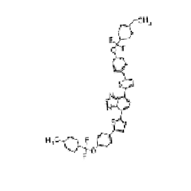 CCC1CCC(C(F)(F)Oc2ccc(-c3ccc(-c4ccc(-c5ccc(-c6ccc(OC(F)(F)C7CCC(C)CC7)cc6)s5)c5nsnc45)s3)cc2)CC1